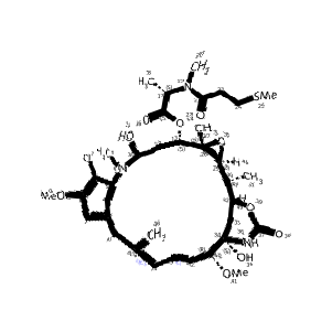 COc1cc2cc(c1Cl)N(C)C(O)C[C@H](OC(=O)[C@H](C)N(C)C(=O)CCSC)[C@]1(C)O[C@H]1[C@H](C)[C@@H]1C[C@@](O)(NC(=O)O1)[C@H](OC)/C=C/C=C(\C)C2